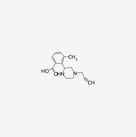 C#CCN1CCNC(c2c(C)cccc2C(=O)O)C1